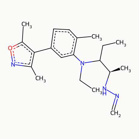 C=NN[C@H](C)C(CC)N(CC)c1cc(-c2c(C)noc2C)ccc1C